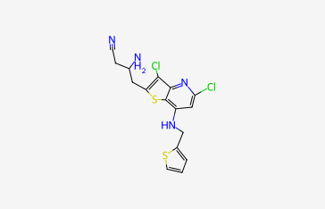 N#CCC(N)Cc1sc2c(NCc3cccs3)cc(Cl)nc2c1Cl